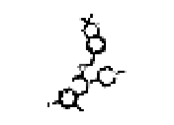 C=C(NCc1ccc2c(c1)CC(C)(C)O2)N(Cc1ccc(F)cc1C)C1CCN(C)CC1